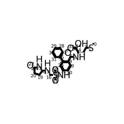 CSCC[C@H](NC(=O)c1ccc(NS(=O)(=O)CN[C@H]2CCC(=O)N2)cc1-c1ccccc1)C(=O)O